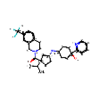 CC(C)[C@]1(C(=O)N2CCc3ccc(C(F)(F)F)cc3C2)CC[C@@H](NC2CCC(O)(c3ccccn3)CC2)C1